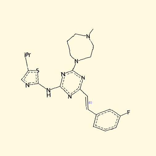 CC(C)c1cnc(Nc2nc(/C=C/c3cccc(F)c3)nc(N3CCCN(C)CC3)n2)s1